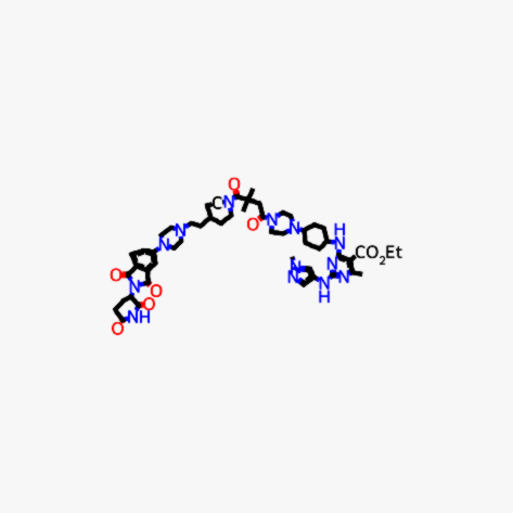 CCOC(=O)c1c(C)nc(Nc2cnn(C)c2)nc1NC1CCC(N2CCN(C(=O)CC(C)(C)C(=O)N3CCC(CCN4CCN(c5ccc6c(c5)C(=O)N(C5CCC(=O)NC5=O)C6=O)CC4)CC3)CC2)CC1